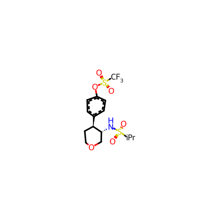 CC(C)S(=O)(=O)N[C@@H]1COCC[C@H]1c1ccc(OS(=O)(=O)C(F)(F)F)cc1